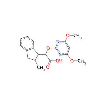 COc1cc(OC)nc(OC(C(=O)O)C2c3ccccc3CC2C)n1